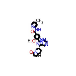 CCOc1cc(C(=O)Nc2cc(C(F)(F)F)ccn2)ccc1C1=NC([C@@H]2CC[C@H]3CCC(=O)N3C2)=C2C=NC=C[N+]12N